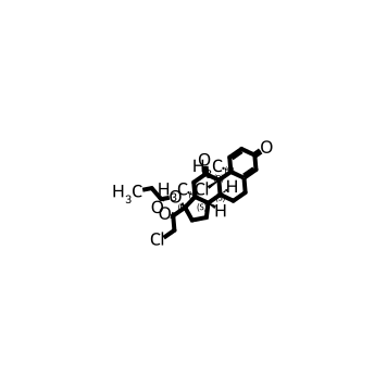 CCC(=O)O[C@]1(C(=O)CCl)CC[C@H]2[C@@H]3CCC4=CC(=O)C=C[C@]4(C)[C@@]3(Cl)C(=O)C[C@@]21C